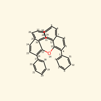 c1ccc(-c2ccc3ccccc3c2Oc2c(-c3ccccc3)ccc3ccccc23)cc1